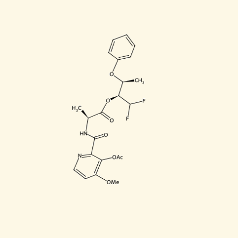 COc1ccnc(C(=O)N[C@@H](C)C(=O)O[C@H](C(F)F)[C@H](C)Oc2ccccc2)c1OC(C)=O